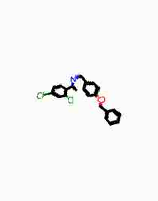 CC(/N=C\c1ccc(OCc2ccccc2)cc1)c1ccc(Cl)cc1Cl